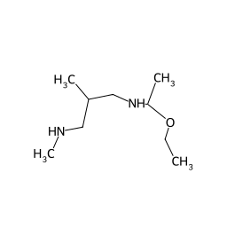 CCOC(C)NCC(C)CNC